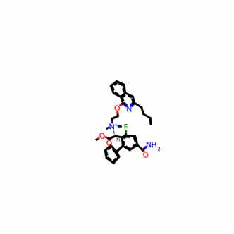 CCCCc1cc2ccccc2c(OCC[N+](C)(C)[C@@H](C(=O)OC)c2c(F)cc(C(N)=O)cc2-c2ccccc2)n1